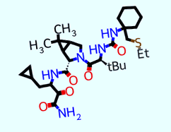 CCSCC1(NC(=O)N[C@H](C(=O)N2CC3C([C@H]2C(=O)NC(CC2CC2)C(=O)C(N)=O)C3(C)C)C(C)(C)C)CCCCC1